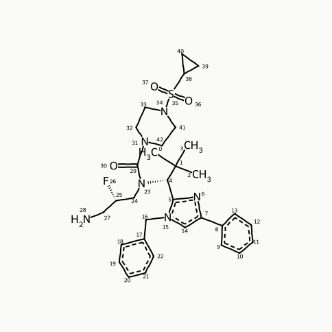 CC(C)(C)[C@H](c1nc(-c2ccccc2)cn1Cc1ccccc1)N(C[C@@H](F)CN)C(=O)N1CCN(S(=O)(=O)C2CC2)CC1